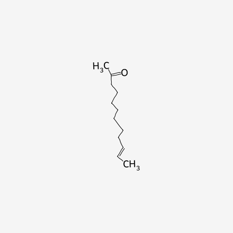 CC=CCCCCCCCC(C)=O